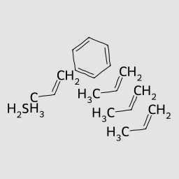 C=CC.C=CC.C=CC.C=CC.S.c1ccccc1